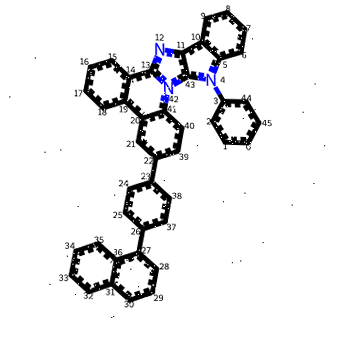 c1ccc(-n2c3ccccc3c3nc4c5ccccc5c5cc(-c6ccc(-c7cccc8ccccc78)cc6)ccc5n4c32)cc1